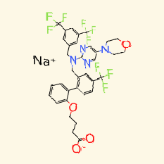 O=C([O-])CCCOc1ccccc1-c1ccc(C(F)(F)F)cc1CN(Cc1cc(C(F)(F)F)cc(C(F)(F)F)c1)c1ncc(N2CCOCC2)cn1.[Na+]